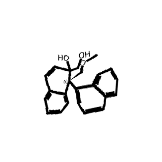 COC[C@@]1(c2cccc3ccccc23)c2ccccc2C=CC1(O)CO